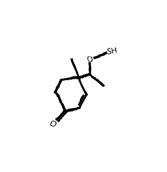 CC(OS)C1(C)C=CC(=O)CC1